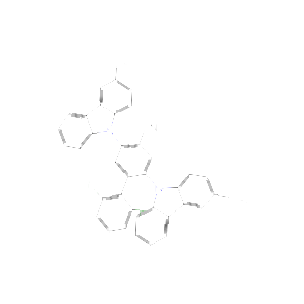 CC(C)(C)c1ccc2c(c1)c1ccccc1n2-c1cc(-c2c(F)cccc2F)c(-n2c3ccccc3c3cc(C(C)(C)C)ccc32)cc1C#N